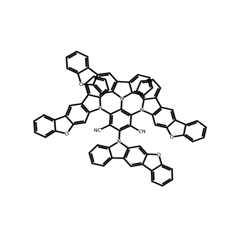 N#Cc1c(-n2c3ccccc3c3cc4c(cc32)oc2ccccc24)c(C#N)c(-n2c3ccccc3c3cc4c(cc32)oc2ccccc24)c(-n2c3ccccc3c3cc4c(cc32)oc2ccccc24)c1-n1c2ccccc2c2cc3c(cc21)oc1ccccc13